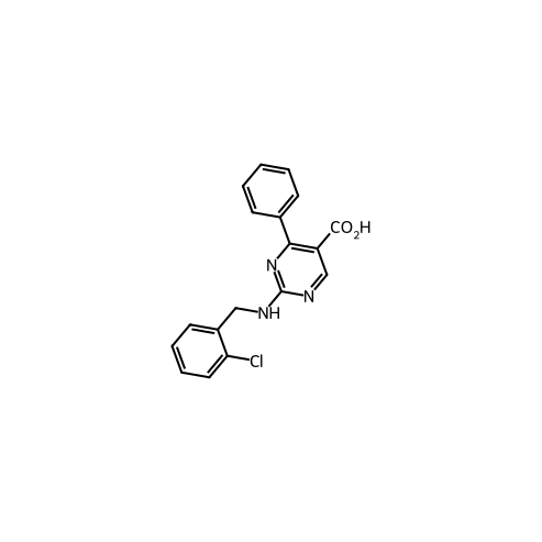 O=C(O)c1cnc(NCc2ccccc2Cl)nc1-c1ccccc1